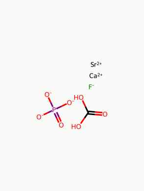 O=C(O)O.O=P([O-])([O-])[O-].[Ca+2].[F-].[Sr+2]